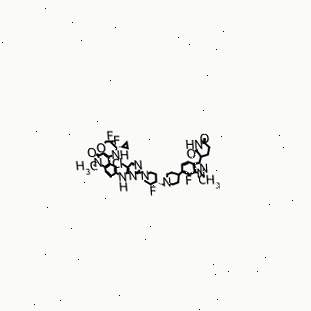 Cn1nc(C2CCC(=O)NC2=O)c2ccc(C3CCN(C[C@H]4CCN(c5ncc(Cl)c(Nc6ccc7c(c6)c6c(c(=O)n7C)OCC(F)(F)[C@H](C7CC7)N6)n5)C[C@H]4F)CC3)c(F)c21